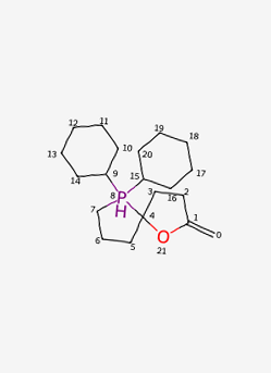 C=C1CCC2(CCC[PH]2(C2CCCCC2)C2CCCCC2)O1